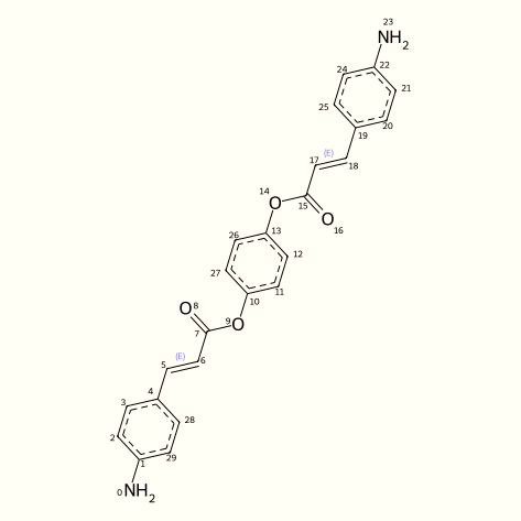 Nc1ccc(/C=C/C(=O)Oc2ccc(OC(=O)/C=C/c3ccc(N)cc3)cc2)cc1